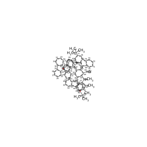 Cc1ccccc1N(C)c1c(-c2cccc3c2-c2ccccc2[Si]32c3ccccc3-c3ccccc32)c(-n2c3ccccc3c3cc(C(C)(C)C)ccc32)c(N(C)c2ccccc2C)c(C#N)c1-n1c2ccccc2c2cc(C(C)(C)C)ccc21